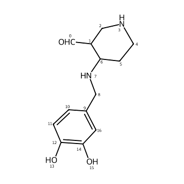 O=CC1CNCCC1NCc1ccc(O)c(O)c1